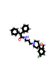 O=C(NCCCN1CCC2(CC1)OCc1ccc(F)cc12)C(c1ccccc1)c1ccccc1